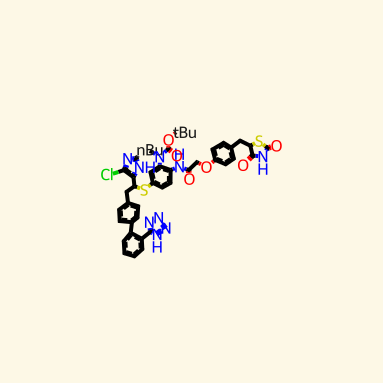 CCCCc1nc(Cl)c(C(Cc2ccc(-c3ccccc3-c3nnn[nH]3)cc2)Sc2ccc(NC(=O)COc3ccc(CC4SC(=O)NC4=O)cc3)c(N(C)C(=O)OC(C)(C)C)c2)[nH]1